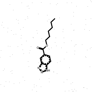 CCCCCCOC(=O)c1ccc2[nH]nnc2c1